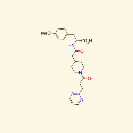 COc1ccc(CC(NC(=O)CC2CCN(C(=O)CCc3ncccn3)CC2)C(=O)O)cc1